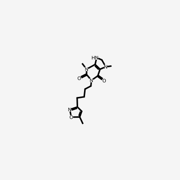 Cc1cc(CCCCn2c(=O)c3c(n(C)c2=O)NCN3C)no1